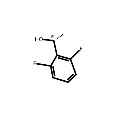 C[C@@H](O)c1c(F)cccc1F